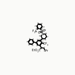 CCOC(=O)C(CC(C)C)c1cc(-c2ccccc2)cc(C2CCCN(S(=O)(=O)c3ccccc3C(F)(F)F)C2)c1C(F)(F)F